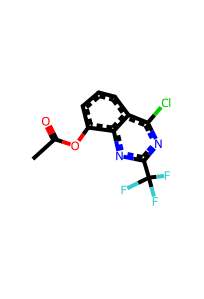 CC(=O)Oc1cccc2c(Cl)nc(C(F)(F)F)nc12